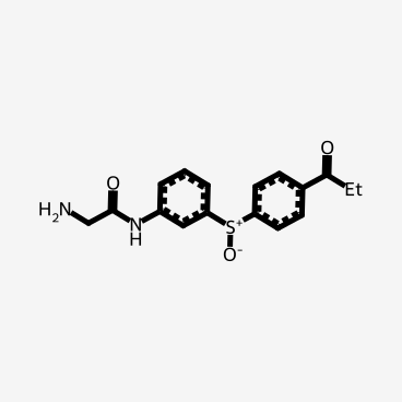 CCC(=O)c1ccc([S+]([O-])c2cccc(NC(=O)CN)c2)cc1